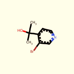 CC(C)(O)c1ccncc1Br